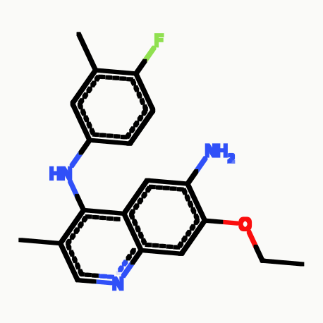 CCOc1cc2ncc(C)c(Nc3ccc(F)c(C)c3)c2cc1N